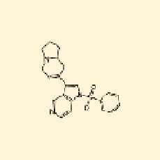 O=S(=O)(c1ccccc1)n1cc(C2=CCN3CCCC3C2)c2cnccc21